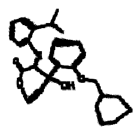 CC(C)c1ccccc1SC1C(=O)OC=CC1(O)c1ccccc1OCC1CCCCC1